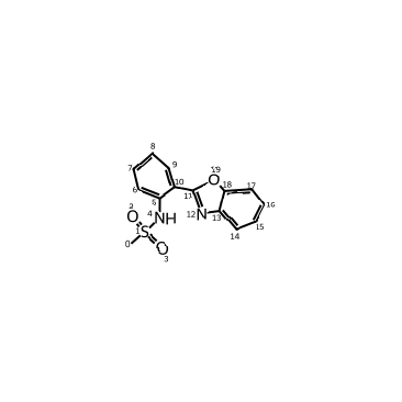 CS(=O)(=O)Nc1ccccc1-c1nc2ccccc2o1